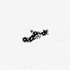 Cn1c(=O)n(C)c2cc(COc3cc(F)cc(C4(O)CCN(Cc5ccccc5)CC4)c3)ccc21